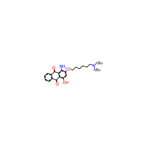 CCCCN(CCCC)CCCCCCOc1cc(O)c2c(c1N)C(=O)c1ccccc1C2=O